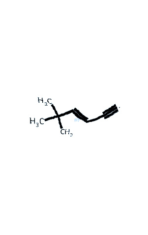 [C]#C/C=C/C(C)(C)C